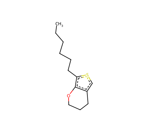 CCCCCCc1scc2c1OCCC2